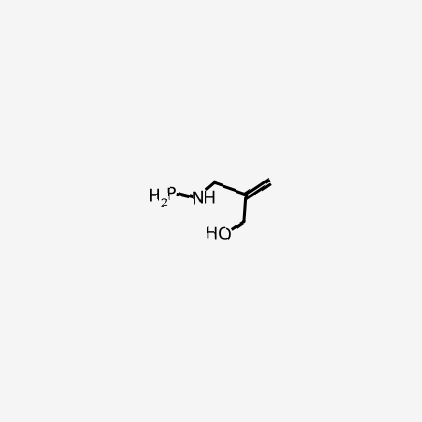 C=C(CO)CNP